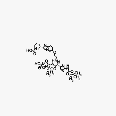 CC(C)(C)OC(=O)Nc1nc(/C(=N/OCCOc2ccc3nc([C@H]4CCCN(C(=O)O)C4)cn3c2)C(=O)N[C@@H]2C(=O)N(OS(=O)(=O)O)C2(C)C)cs1